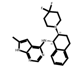 Cc1cc2c(N[C@H]3c4ccccc4CC[C@@H]3N3CCC(F)(F)CC3)ncnc2[nH]1